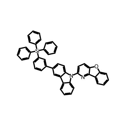 c1ccc([Si](c2ccccc2)(c2ccccc2)c2cccc(-c3ccc4c(c3)c3ccccc3n4-c3ccc4oc5ccccc5c4n3)c2)cc1